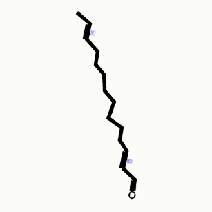 C/C=C/CCCCCCCC/C=C/C=O